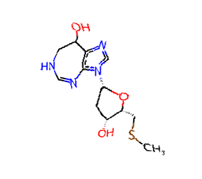 CSC[C@H]1O[C@@H](n2cnc3c2N=CNCC3O)C[C@H]1O